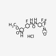 CCOc1cc(-c2ccc(NC(=O)Nc3ccc(CN4CCOCC4)c(C(F)(F)F)c3)c(F)c2)c[nH]c1=O.Cl